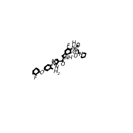 Cc1cc(Oc2ccccc2F)ccc1-n1ncc(C(=O)c2cc3cc(F)c(NS(=O)(=O)CC(=O)N4CCCC4)cc3[nH]2)c1N